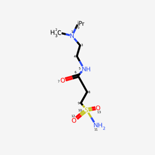 CC(C)N(C)CCNC(=O)CCS(N)(=O)=O